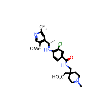 COc1cnc(C(F)(F)F)cc1[C@H](C)Nc1ccc(C(=O)NCC2(CC(=O)O)CCN(C)CC2)cc1Cl